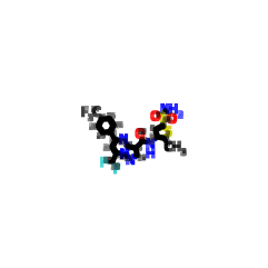 Cc1sc(S(N)(=O)=O)cc1NC(=O)c1cnn2c(C(F)F)cc(-c3ccc(C(F)(F)F)cc3)nc12